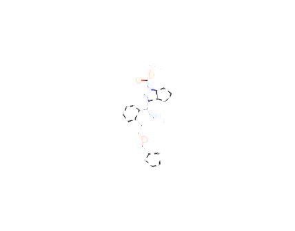 CC(C)(C)OC(=O)n1nc(C(N)c2ccccc2CCOCc2ccccc2)c2ccccc21